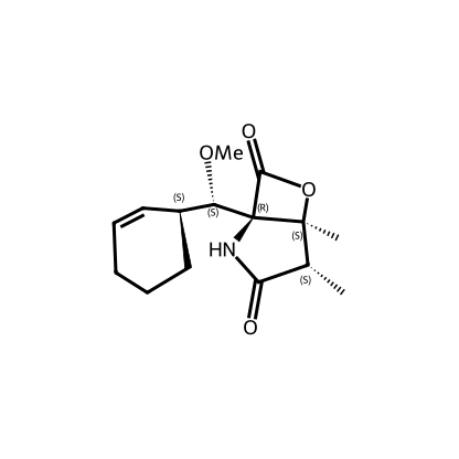 CO[C@@H]([C@@H]1C=CCCC1)[C@@]12NC(=O)[C@@H](C)[C@]1(C)OC2=O